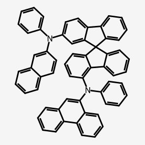 c1ccc(N(c2ccc3c(c2)C2(c4ccccc4-3)c3ccccc3-c3c(N(c4ccccc4)c4cc5ccccc5c5ccccc45)cccc32)c2ccc3ccccc3c2)cc1